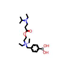 CCN(CCC(=O)OCC[N+](CC)(CC)Cc1ccc(B(O)O)cc1)C(C)C